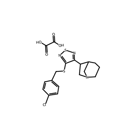 Clc1ccc(CSc2nsnc2C2CN3CCCC2C3)cc1.O=C(O)C(=O)O